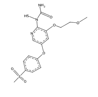 COCCOc1cc(Oc2ccc(S(C)(=O)=O)cc2)cnc1N(S)C(N)=O